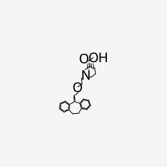 O=C(O)[C@@H]1CCCN(CCOCC=C2c3ccccc3CCc3ccccc32)C1